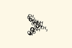 CNc1cc(Nc2cccn(-c3ncco3)c2=O)nc2c(C(=O)N[C@@H]3CC[C@@H](OC)C3)cnn12